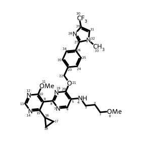 COCCCNc1cnc(-c2c(OC)ncnc2C2CC2)nc1OCc1ccc(-c2nc(C(F)(F)F)cn2C)cc1